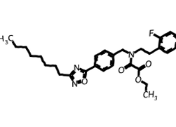 CCCCCCCCc1noc(-c2ccc(CN(CCc3ccccc3F)C(=O)C(=O)OCC)cc2)n1